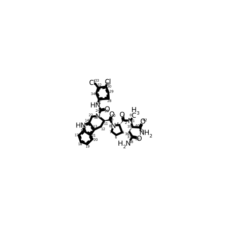 CN(C(=O)[C@@H]1CCCN1C(=O)[C@H]1Cc2c([nH]c3ccccc23)CN1C(=O)Nc1ccc(Cl)c(Cl)c1)[C@@H](CC(N)=O)C(N)=O